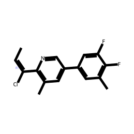 C/C=C(/Cl)c1ncc(-c2cc(C)c(F)c(F)c2)cc1C